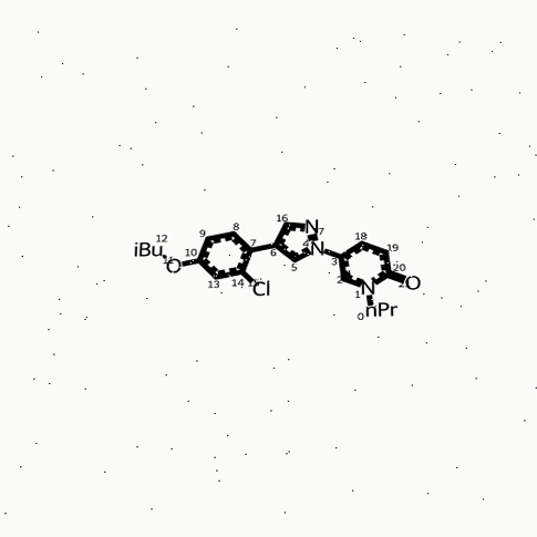 CCCn1cc(-n2cc(-c3ccc(O[C@@H](C)CC)cc3Cl)cn2)ccc1=O